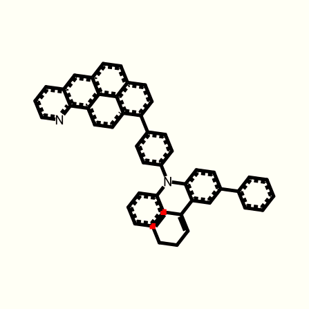 C1=CC(c2cc(-c3ccccc3)ccc2N(c2ccccc2)c2ccc(-c3ccc4ccc5cc6cccnc6c6ccc3c4c56)cc2)=CCC1